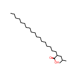 CCCCCCCCCCCCCCCCCCC(CC(C)C)C(=O)O